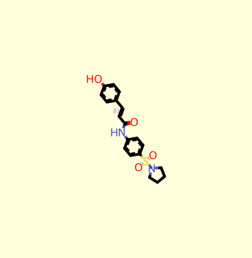 O=C(/C=C/c1ccc(O)cc1)Nc1ccc(S(=O)(=O)N2CCCC2)cc1